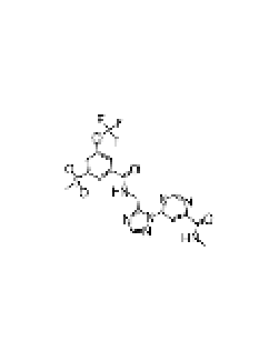 CNC(=O)c1cc(-n2ncnc2CNC(=O)c2cc(OC(F)(F)F)cc(S(C)(=O)=O)c2)ncn1